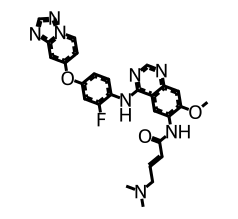 COc1cc2ncnc(Nc3ccc(Oc4ccn5ncnc5c4)cc3F)c2cc1NC(=O)/C=C/CN(C)C